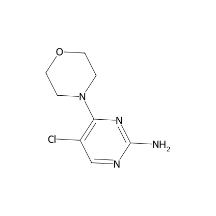 Nc1ncc(Cl)c(N2CCOCC2)n1